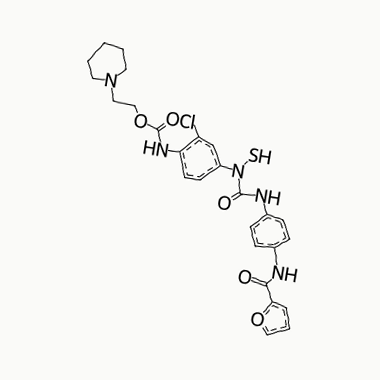 O=C(Nc1ccc(N(S)C(=O)Nc2ccc(NC(=O)c3ccco3)cc2)cc1Cl)OCCN1CCCCC1